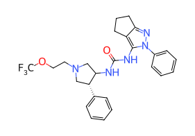 O=C(Nc1c2c(nn1-c1ccccc1)CCC2)NC1CN(CCOC(F)(F)F)C[C@H]1c1ccccc1